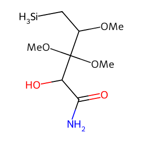 COC(C[SiH3])C(OC)(OC)C(O)C(N)=O